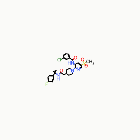 CS(=O)(=O)c1cnc(N2CCC(CC(=O)NC3(c4ccc(F)cc4)CC3)CC2)c(NC(=O)c2cccc(Cl)c2)c1